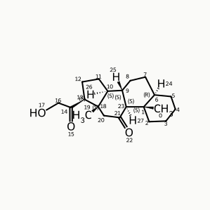 C[C@]12CCCC[C@@H]1CC[C@H]1[C@@H]3CC[C@H](C(=O)CO)[C@@]3(C)CC(=O)[C@@H]12